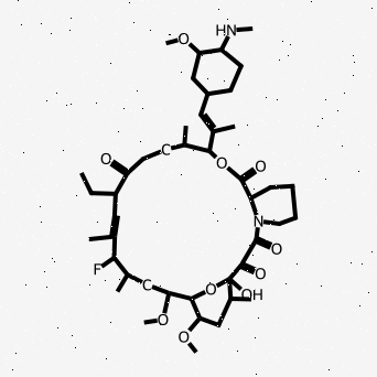 CCC1/C=C(\C)C(F)C(C)CC(OC)C2OC(O)(C(=O)C(=O)N3CCCCC3C(=O)OC(C(C)=CC3CCC(NC)C(OC)C3)C(C)CCC1=O)C(C)CC2OC